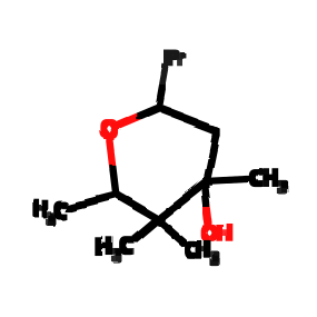 CC(C)C1CC(C)(O)C(C)(C)C(C)O1